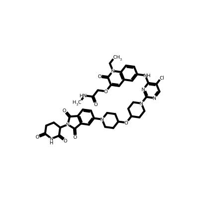 CCn1c(=O)c(OCC(=O)NC)cc2cc(Nc3nc(N4CCC(OC5CCN(c6ccc7c(c6)C(=O)N(C6CCC(=O)NC6=O)C7=O)CC5)CC4)ncc3Cl)ccc21